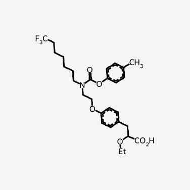 CCOC(Cc1ccc(OCCN(CCCCCCC(F)(F)F)C(=O)Oc2ccc(C)cc2)cc1)C(=O)O